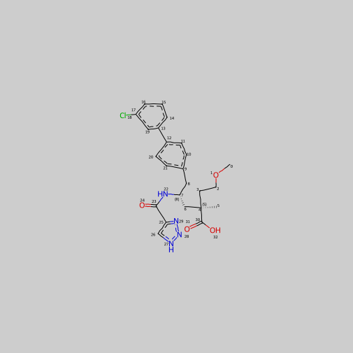 COCC[C@](C)(C[C@@H](Cc1ccc(-c2cccc(Cl)c2)cc1)NC(=O)c1c[nH]nn1)C(=O)O